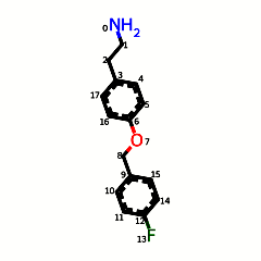 NCCc1ccc(OCc2ccc(F)cc2)cc1